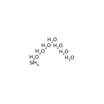 O.O.O.O.O.O.O.[SiH4]